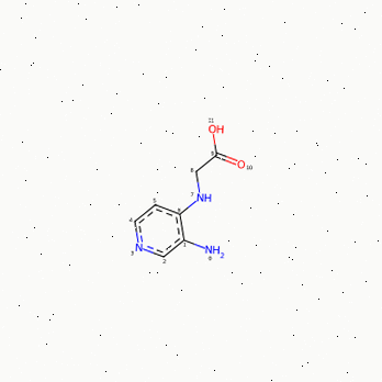 Nc1cnccc1NCC(=O)O